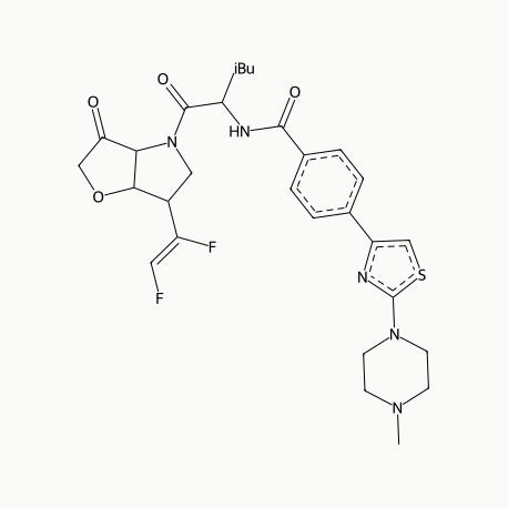 CCC(C)C(NC(=O)c1ccc(-c2csc(N3CCN(C)CC3)n2)cc1)C(=O)N1CC(C(F)=CF)C2OCC(=O)C21